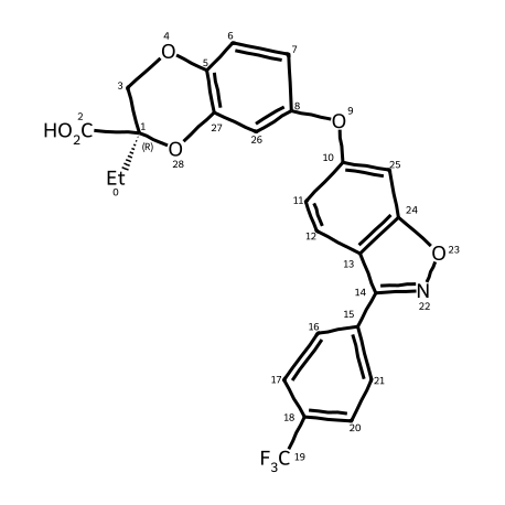 CC[C@]1(C(=O)O)COc2ccc(Oc3ccc4c(-c5ccc(C(F)(F)F)cc5)noc4c3)cc2O1